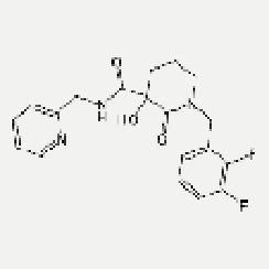 O=C(NCc1ccccn1)C1(O)CCCN(Cc2cccc(F)c2F)C1=O